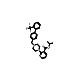 CC(C)OC(=O)c1cccnc1N1CCN(Cc2ccc(-c3ccccc3C(F)(F)F)cc2)CC1